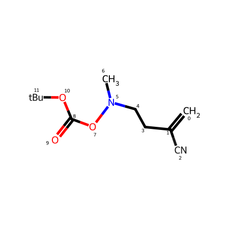 C=C(C#N)CCN(C)OC(=O)OC(C)(C)C